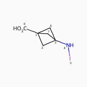 O=C(O)C12CC(NI)(C1)C2